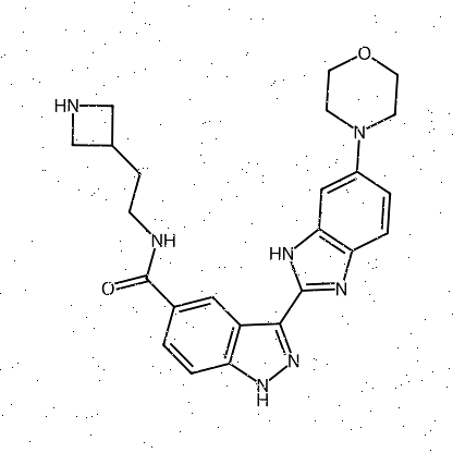 O=C(NCCC1CNC1)c1ccc2[nH]nc(-c3nc4ccc(N5CCOCC5)cc4[nH]3)c2c1